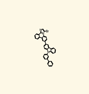 Brc1cnc2c3ccccc3c3cc(-c4ccc5c(c4)c4ccccc4n5-c4cccc(-c5ccccc5)c4)ccc3n12